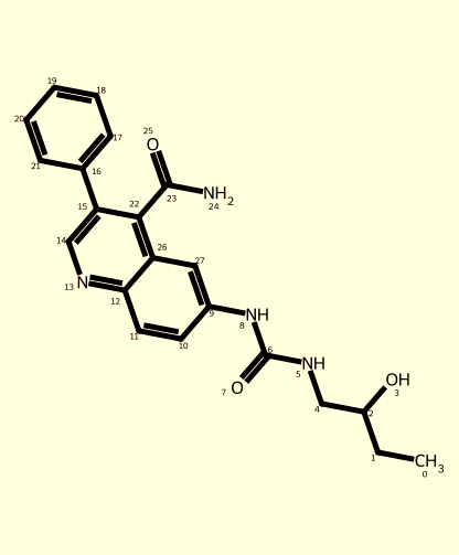 CCC(O)CNC(=O)Nc1ccc2ncc(-c3ccccc3)c(C(N)=O)c2c1